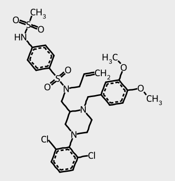 C=CCN(CC1CN(c2c(Cl)cccc2Cl)CCN1Cc1ccc(OC)c(OC)c1)S(=O)(=O)c1ccc(NS(C)(=O)=O)cc1